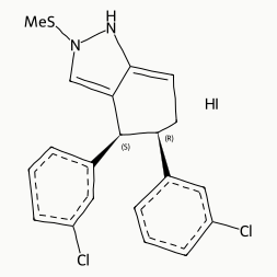 CSN1C=C2C(=CC[C@@H](c3cccc(Cl)c3)[C@H]2c2cccc(Cl)c2)N1.I